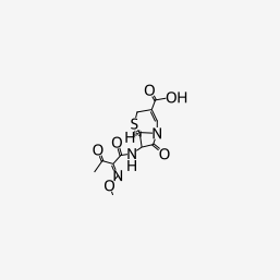 CON=C(C(C)=O)C(=O)NC1C(=O)N2C=C(C(=O)O)CS[C@H]12